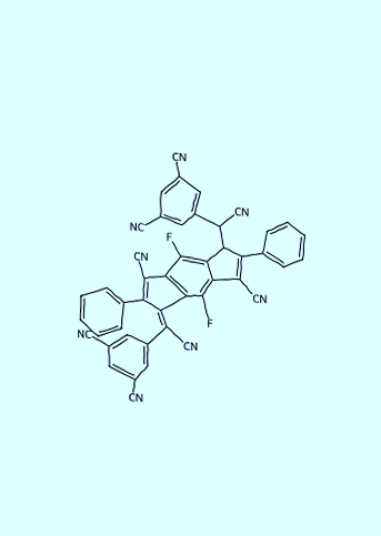 N#CC1=C(c2ccccc2)/C(=C(/C#N)c2cc(C#N)cc(C#N)c2)c2c(F)c3c(c(F)c21)C(C(C#N)c1cc(C#N)cc(C#N)c1)C(c1ccccc1)=C3C#N